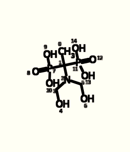 CC(N(CO)CO)(P(=O)(O)O)P(=O)(O)O